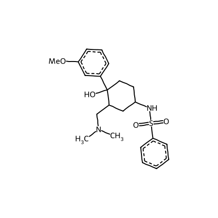 COc1cccc(C2(O)CCC(NS(=O)(=O)c3ccccc3)CC2CN(C)C)c1